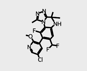 COc1ncc(Cl)cc1-c1c(C(F)F)cc2c(c1F)-n1c(C)nnc1C(C)(C)N2